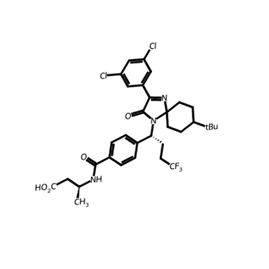 C[C@@H](CC(=O)O)NC(=O)c1ccc([C@@H](CCC(F)(F)F)N2C(=O)C(c3cc(Cl)cc(Cl)c3)=NC23CCC(C(C)(C)C)CC3)cc1